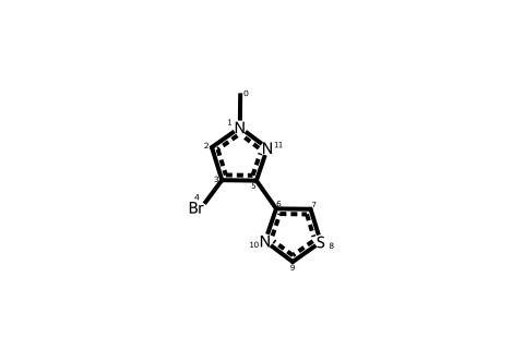 Cn1cc(Br)c(-c2cscn2)n1